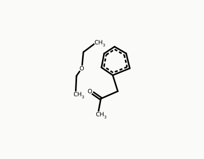 CC(=O)Cc1ccccc1.CCOCC